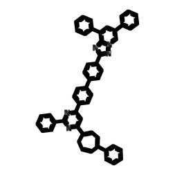 C1=CC(c2ccccc2)=CC=C(c2cc(-c3ccc(-c4ccc(-c5nc6c(-c7ccccc7)cc(-c7ccccc7)cn6n5)cc4)cc3)nc(-c3ccccc3)n2)C1